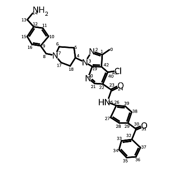 Cc1nn(C2CCN(Cc3ccc(CN)cc3)CC2)c2ncc(C(=O)Nc3ccc(C(=O)c4ccccc4)cc3)c(Cl)c12